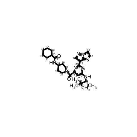 C[C@@H](Nc1cc(C(=O)N2CCC(NC(=O)C3CCCCC3)CC2)nc(-c2cnn3ccsc23)n1)C(C)(C)C